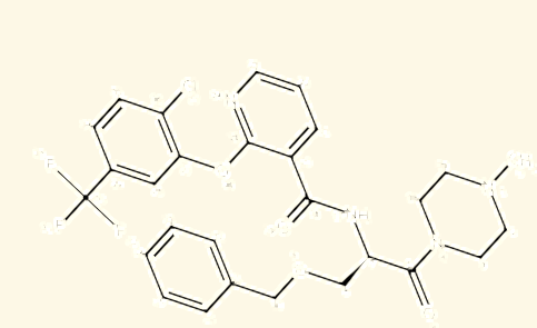 CN1CCN(C(=O)[C@@H](COCc2ccccc2)NC(=O)c2cccnc2Oc2cc(C(F)(F)F)ccc2Cl)CC1